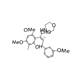 C1COCCN1.COc1cccc(C/C=C(/C=O)c2c(OC)cc(OC)c(C)c2O)c1